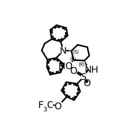 O=S(=O)(N[C@@H]1CCC[C@H](N2c3ccccc3CCc3ccccc32)[C@H]1O)c1ccc(OC(F)(F)F)cc1